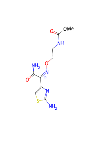 COC(=O)NCCO/N=C(\C(N)=O)c1csc(N)n1